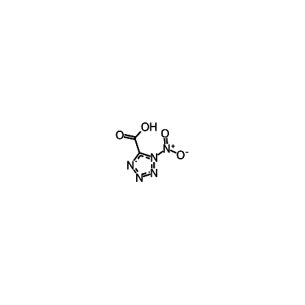 O=C(O)c1nnnn1[N+](=O)[O-]